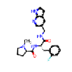 CN1CCC[C@@H]1C(=O)N[C@@H](Cc1ccccc1F)C(=O)NCc1cnc2[nH]ccc2c1